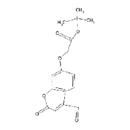 CC(C)(C)OC(=O)COc1ccc2c(C=O)cc(=O)oc2c1